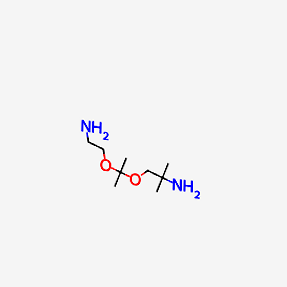 CC(C)(N)COC(C)(C)OCCN